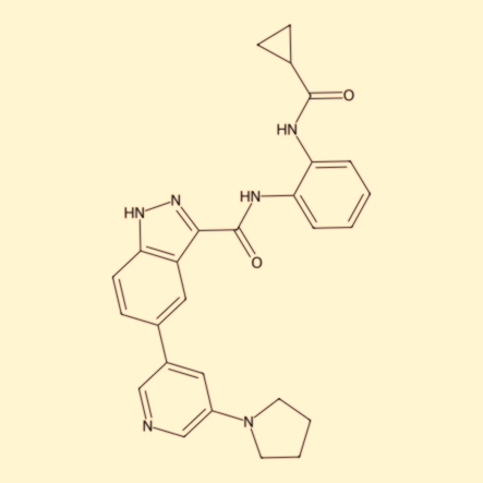 O=C(Nc1ccccc1NC(=O)C1CC1)c1n[nH]c2ccc(-c3cncc(N4CCCC4)c3)cc12